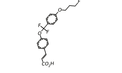 O=C(O)/C=C/c1ccc(OC(F)(F)c2ccc(OCCCF)cc2)cc1